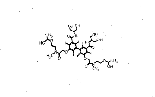 CC(O)OCCN(C)C(=O)COc1c(I)c(C(=O)NC(CO)CO)c(I)c(-c2c(I)c(OCC(=O)N(C)CCOC(C)O)c(I)c(C(=O)NC(CO)CO)c2I)c1I